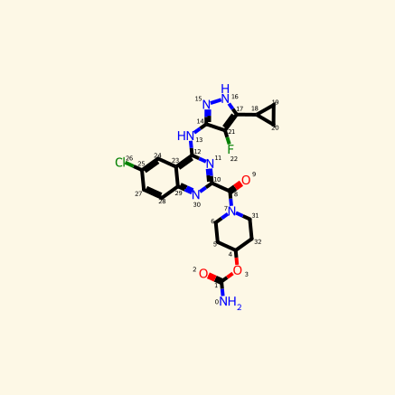 NC(=O)OC1CCN(C(=O)c2nc(Nc3n[nH]c(C4CC4)c3F)c3cc(Cl)ccc3n2)CC1